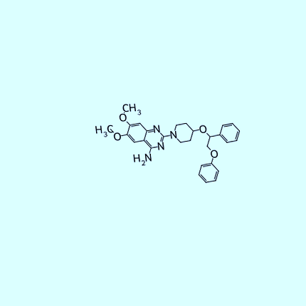 COc1cc2nc(N3CCC(OC(COc4ccccc4)c4ccccc4)CC3)nc(N)c2cc1OC